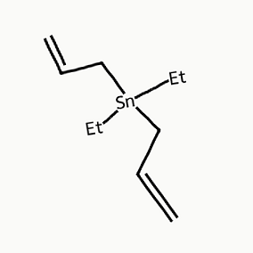 C=C[CH2][Sn]([CH2]C)([CH2]C)[CH2]C=C